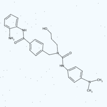 CN(C)c1ccc(NC(=O)N(CCCO)Cc2ccc(C(=O)Nc3ccccc3N)cc2)cc1